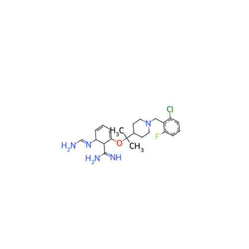 CC(C)(OC1=CC=CC(/N=C/N)C1C(=N)N)C1CCN(Cc2c(F)cccc2Cl)CC1